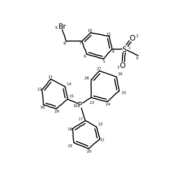 CS(=O)(=O)c1ccc(CBr)cc1.c1ccc(P(c2ccccc2)c2ccccc2)cc1